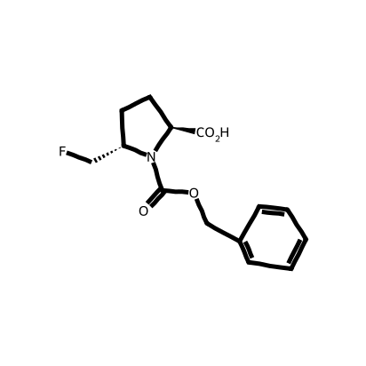 O=C(O)[C@@H]1CC[C@@H](CF)N1C(=O)OCc1ccccc1